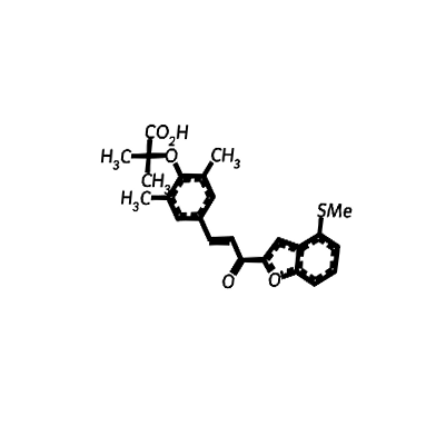 CSc1cccc2oc(C(=O)C=Cc3cc(C)c(OC(C)(C)C(=O)O)c(C)c3)cc12